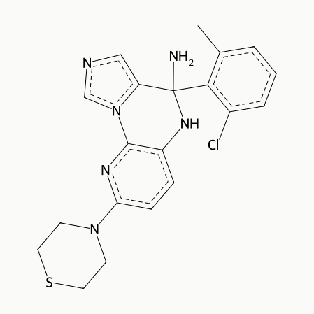 Cc1cccc(Cl)c1C1(N)Nc2ccc(N3CCSCC3)nc2-n2cncc21